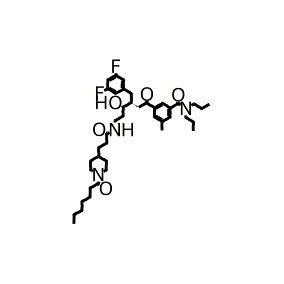 CCCCCCC(=O)N1CCC(CCC(=O)NCC[C@H](O)[C@@H](CC(=O)c2cc(C)cc(C(=O)N(CCC)CCC)c2)Cc2cc(F)cc(F)c2)CC1